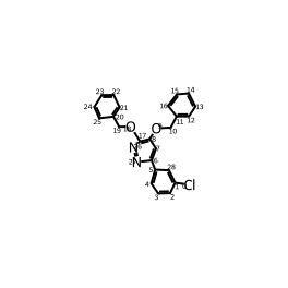 Clc1cccc(-c2cc(OCc3ccccc3)c(OCc3ccccc3)nn2)c1